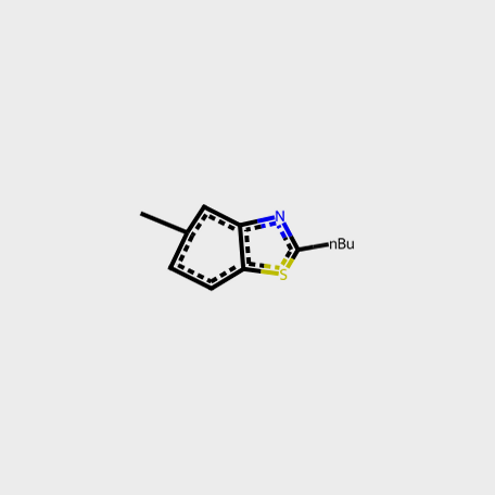 CCCCc1nc2cc(C)ccc2s1